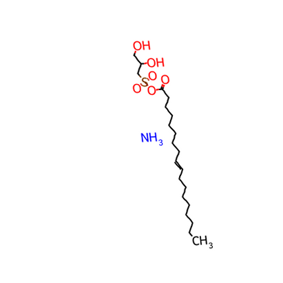 CCCCCCCCC=CCCCCCCCC(=O)OS(=O)(=O)CC(O)CO.N